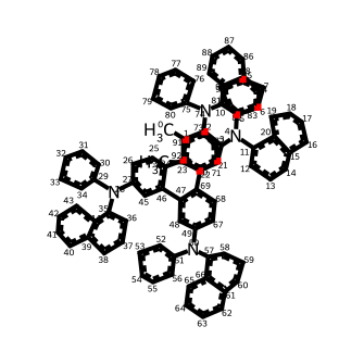 Cc1cc(N(c2ccccc2)c2cccc3ccccc23)ccc1-c1ccc(N(c2ccccc2)c2cccc3ccccc23)cc1-c1cc(N(c2ccccc2)c2cccc3ccccc23)ccc1-c1ccc(N(c2ccccc2)c2cccc3ccccc23)cc1C